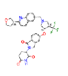 O=C1CCC(N2Cc3cc(O[C@@H]4CN(Cc5ccc6nc([C@H]7CCOC7)ccc6c5)C[C@H]4C(F)(F)F)ccc3C2=O)C(=O)N1